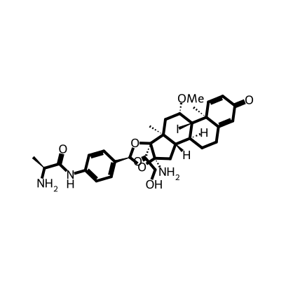 CO[C@H]1C[C@@]2(C)[C@@H](C[C@@]3(N)O[C@@H](c4ccc(NC(=O)[C@H](C)N)cc4)O[C@]32C(=O)CO)[C@@H]2CCC3=CC(=O)C=C[C@]3(C)[C@@]12I